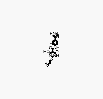 CN(C)CCSc1nc(O)c(C(=O)Nc2ccc(-c3c[nH]nn3)cc2F)c(=O)[nH]1